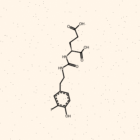 O=C(O)CC[C@H](NC(=O)NCCc1ccc(O)c(I)c1)C(=O)O